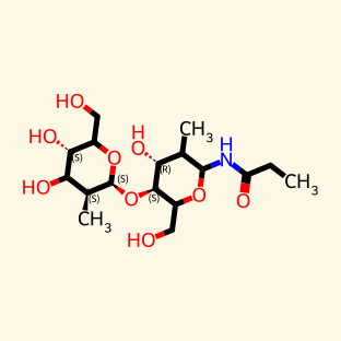 CCC(=O)NC1OC(CO)[C@@H](O[C@@H]2OC(CO)[C@@H](O)C(O)[C@@H]2C)[C@H](O)C1C